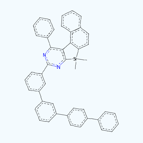 C[Si]1(C)c2ccc3ccccc3c2-c2c(-c3ccccc3)nc(-c3cccc(-c4cccc(-c5ccc(-c6ccccc6)cc5)c4)c3)nc21